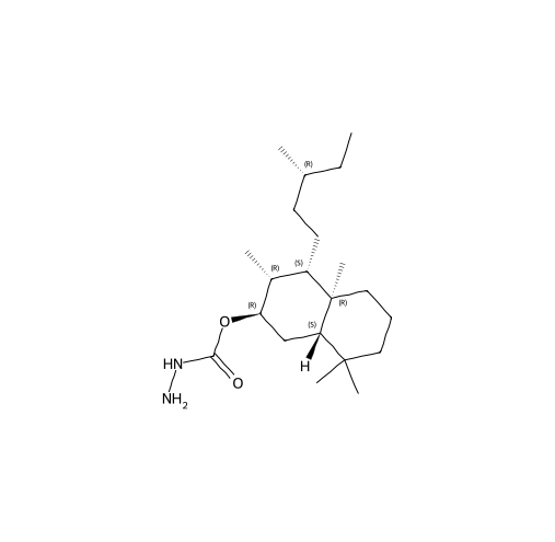 CC[C@@H](C)CC[C@H]1[C@@H](C)[C@H](OC(=O)NN)C[C@H]2C(C)(C)CCC[C@]12C